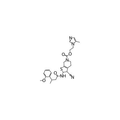 COc1ccccc1C(C)CC(=O)NC1SC2=C(CCN(C(=O)OCCn3cncc3C)C2)C1C#N